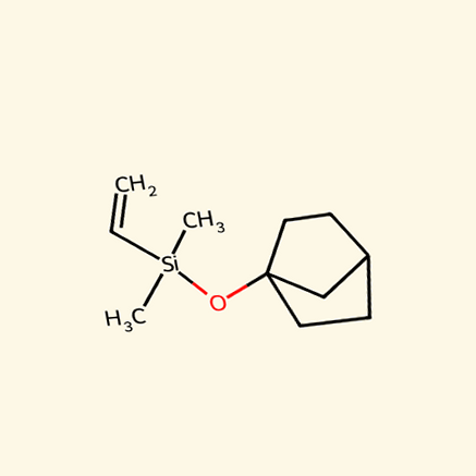 C=C[Si](C)(C)OC12CCC(CC1)C2